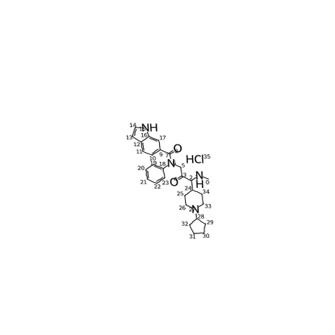 CNC(C(=O)CN(C(=O)c1ccc2cc[nH]c2c1)c1ccccc1)C1CCN(C2CCCC2)CC1.Cl